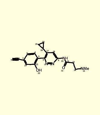 C#Cc1ccc(-c2nnc(NC(=O)CCNC)cc2C2CC2)c(O)c1